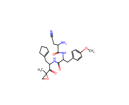 COc1ccc(CC(NC(=O)C(N)CC#N)C(=O)NC(CC2=CCCC2)C(=O)C2(C)CO2)cc1